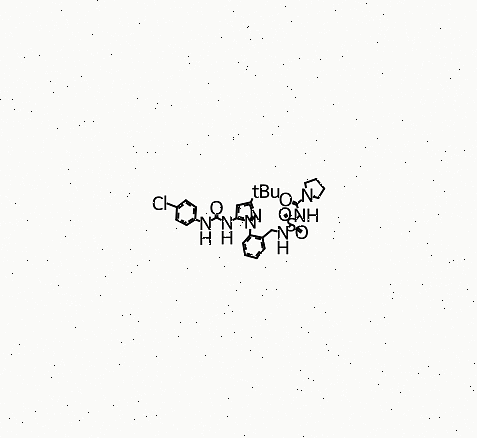 CC(C)(C)c1cc(NC(=O)Nc2ccc(Cl)cc2)n(-c2ccccc2CNS(=O)(=O)NC(=O)N2CCCC2)n1